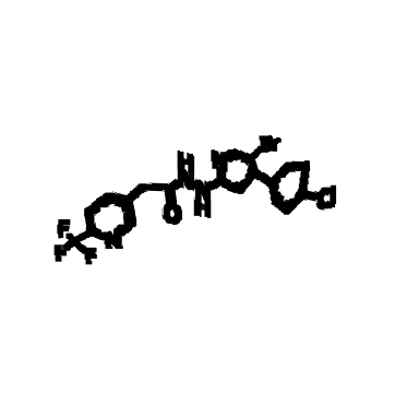 O=C(Cc1ccc(C(F)(F)F)nc1)NNc1cc(-c2ccc(Cl)cc2)c(Br)cn1